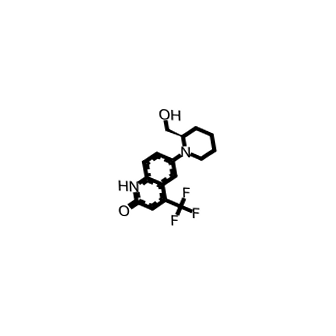 O=c1cc(C(F)(F)F)c2cc(N3CCCC[C@@H]3CO)ccc2[nH]1